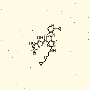 Cc1nc(NCCOCC2CC2)nc(N[C@@H]2C[C@H](CS(C)(=O)=O)[C@@H](O)[C@H]2O)c1-c1nc2c(C3CC3)nccc2s1